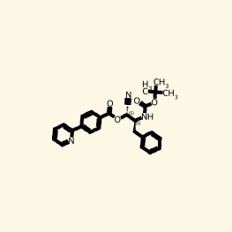 CC(C)(C)OC(=O)N[C@@H](Cc1ccccc1)[C@@H](C#N)OC(=O)c1ccc(-c2ccccn2)cc1